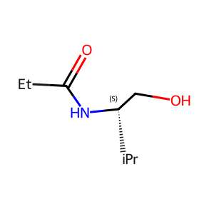 CCC(=O)N[C@H](CO)C(C)C